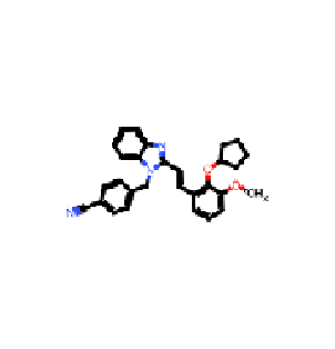 COc1cccc(C=Cc2nc3ccccc3n2Cc2ccc(C#N)cc2)c1OC1CCCC1